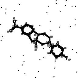 O=[N+]([O-])c1ccc2c(c1)C[C@H]1CN(c3ncc(F)cn3)CCN21